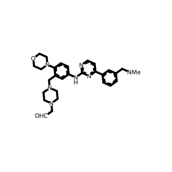 CNCc1cccc(-c2ccnc(Nc3ccc(N4CCOCC4)c(CN4CCN(CC=O)CC4)c3)n2)c1